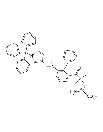 CC(C)(C[C@H](N)C(=O)O)C(=O)c1cccc(NCc2cn(C(c3ccccc3)(c3ccccc3)c3ccccc3)cn2)c1-c1ccccc1